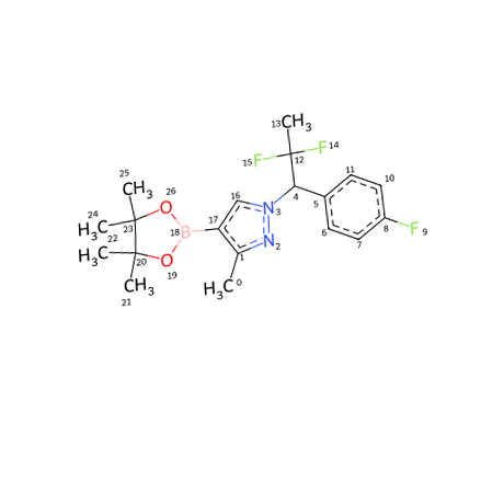 Cc1nn(C(c2ccc(F)cc2)C(C)(F)F)cc1B1OC(C)(C)C(C)(C)O1